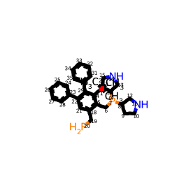 CC(C)(C)c1c(CP(C2CCNC2)C2CCNC2)c(CP)cc(-c2ccccc2)c1-c1ccccc1